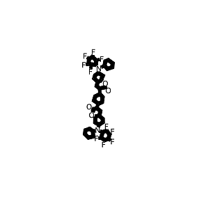 O=c1oc2cc(N(c3ccccc3)c3c(F)c(F)c(F)c(F)c3F)ccc2cc1-c1ccc(-c2cc3ccc(N(c4ccccc4)c4c(F)c(F)c(F)c(F)c4F)cc3oc2=O)cc1